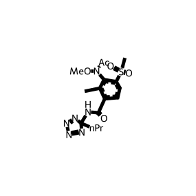 CCCC1(NC(=O)c2ccc(S(C)(=O)=O)c(N(OC)C(C)=O)c2C)N=NN=N1